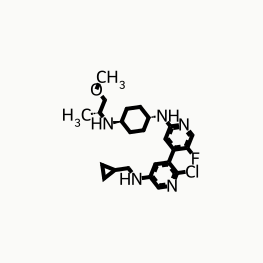 COC[C@@H](C)N[C@H]1CC[C@H](Nc2cc(-c3cc(NCC4CC4)cnc3Cl)c(F)cn2)CC1